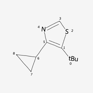 CC(C)(C)c1scnc1C1CC1